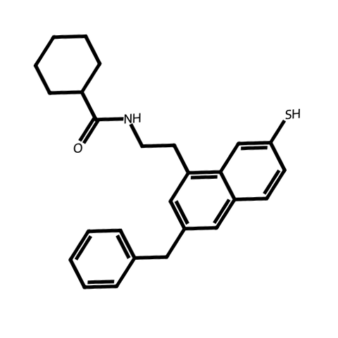 O=C(NCCc1cc(Cc2ccccc2)cc2ccc(S)cc12)C1CCCCC1